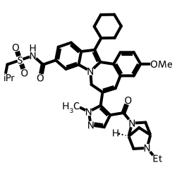 CCN1C[C@@H]2CC1CN2C(=O)c1cnn(C)c1C1=Cc2cc(OC)ccc2-c2c(C3CCCCC3)c3ccc(C(=O)NS(=O)(=O)CC(C)C)cc3n2C1